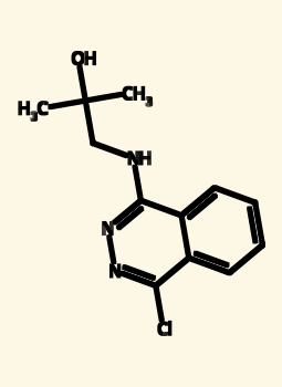 CC(C)(O)CNc1nnc(Cl)c2ccccc12